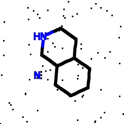 C1CCC2CNCCC2C1.[N]